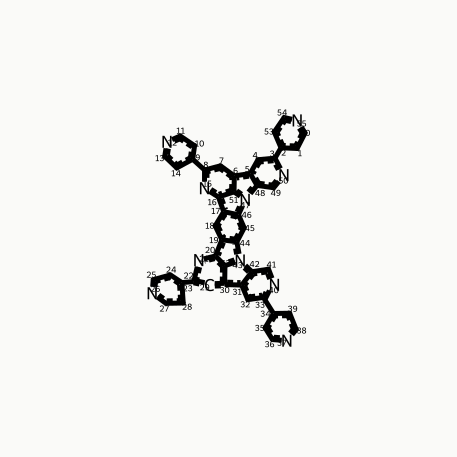 c1cc(-c2cc3c4cc(-c5ccncc5)nc5c6cc7c8nc(-c9ccncc9)cc9c%10cc(-c%11ccncc%11)ncc%10n(c7cc6n(c3cn2)c45)c98)ccn1